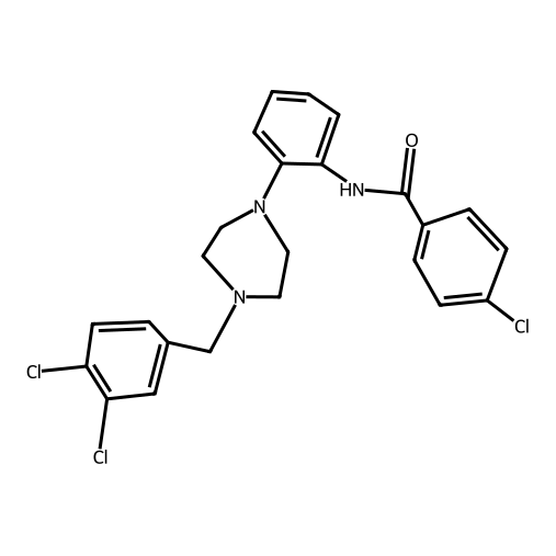 O=C(Nc1ccccc1N1CCN(Cc2ccc(Cl)c(Cl)c2)CC1)c1ccc(Cl)cc1